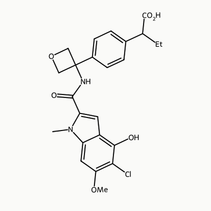 CCC(C(=O)O)c1ccc(C2(NC(=O)c3cc4c(O)c(Cl)c(OC)cc4n3C)COC2)cc1